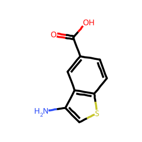 Nc1csc2ccc(C(=O)O)cc12